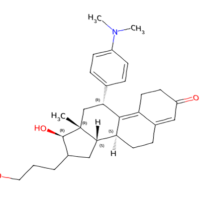 CN(C)c1ccc([C@H]2C[C@@]3(C)[C@H](O)C(CCCO)C[C@H]3[C@@H]3CCC4=CC(=O)CCC4=C32)cc1